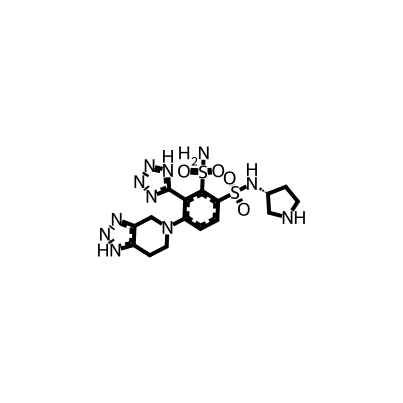 NS(=O)(=O)c1c(S(=O)(=O)N[C@@H]2CCNC2)ccc(N2CCc3[nH]nnc3C2)c1-c1nnn[nH]1